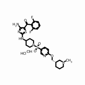 CN1CCC[C@H](COc2ccc(S(=O)(=O)N3CCC(Nc4nc(N)c(C(=O)c5c(F)cccc5F)s4)CC3)cn2)C1.Cl.Cl